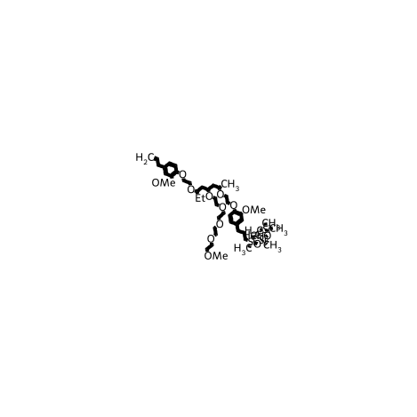 C=CCc1ccc(OCCOC(CC)CC(CC(C)OCCOc2ccc(CCC[Si](C)(C)O[Si](C)(C)O[Si](C)(C)C)cc2OC)OCCOCCOCCOCCOC)c(OC)c1